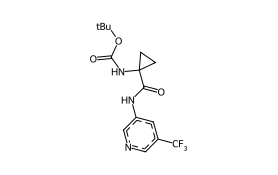 CC(C)(C)OC(=O)NC1(C(=O)Nc2cncc(C(F)(F)F)c2)CC1